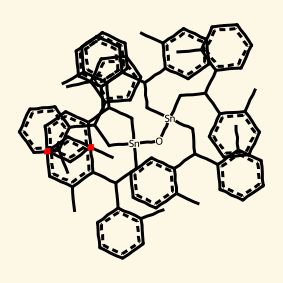 Cc1ccccc1C([CH2][Sn]([CH2]C(c1ccccc1C)c1ccccc1C)([CH2]C(c1ccccc1C)c1ccccc1C)[O][Sn]([CH2]C(c1ccccc1C)c1ccccc1C)([CH2]C(c1ccccc1C)c1ccccc1C)[CH2]C(c1ccccc1C)c1ccccc1C)c1ccccc1C